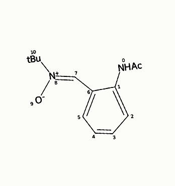 CC(=O)Nc1ccccc1C=[N+]([O-])C(C)(C)C